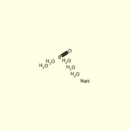 O.O.O.O.O.[B]=O.[NaH]